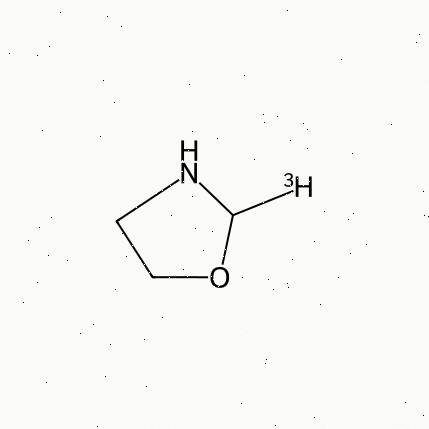 [3H]C1NCCO1